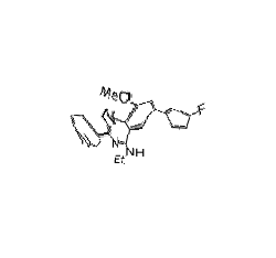 CCNc1nc(-c2cccnc2)nc2c(OC)cc(-c3ccc(F)cc3)cc12